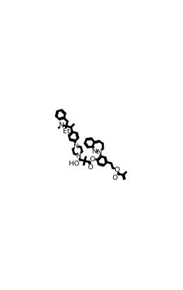 C=C(C)C(=O)OCCc1ccc(OC(=O)C(C)(C)C(O)N2CCN(c3ccc(C(C)C(CC)(Cc4ccccc4)N(C)C)cc3)CC2)c(N2CCC=c3ccccc3=N2)c1